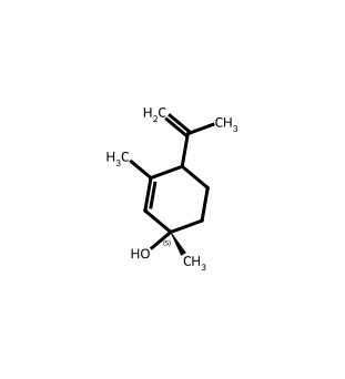 C=C(C)C1CC[C@](C)(O)C=C1C